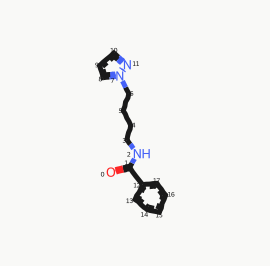 O=C(NCCCCn1cccn1)c1ccccc1